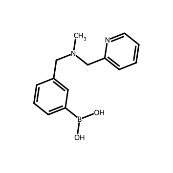 CN(Cc1cccc(B(O)O)c1)Cc1ccccn1